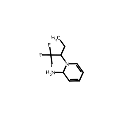 CCC(N1C=CC=CC1N)C(F)(F)F